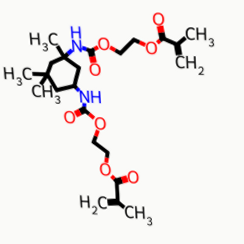 C=C(C)C(=O)OCCOC(=O)NC1CC(C)(C)CC(C)(NC(=O)OCCOC(=O)C(=C)C)C1